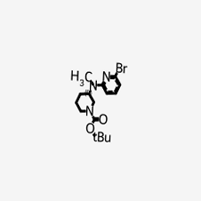 CN(c1cccc(Br)n1)[C@@H]1CCCN(C(=O)OC(C)(C)C)C1